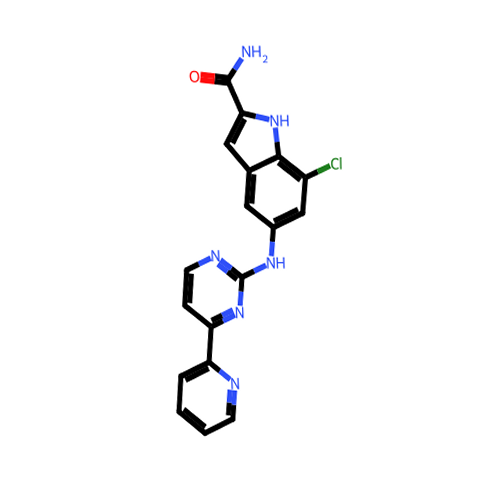 NC(=O)c1cc2cc(Nc3nccc(-c4ccccn4)n3)cc(Cl)c2[nH]1